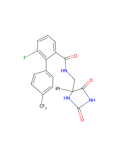 CC(C)C1(CNC(=O)c2cccc(F)c2-c2ccc(C(F)(F)F)cc2)NC(=O)NC1=O